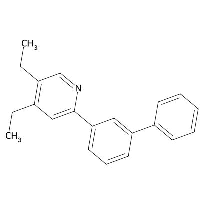 CCc1cnc(-c2cccc(-c3ccccc3)c2)cc1CC